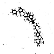 Cc1ccccc1C1(C(=O)N2CC3(CN(CC4CCN(c5ccc([C@H]6CCC(=O)NC6=O)cc5)CC4)C3)C2)CCN(c2cnnc(-c3ccccc3O)c2)CC1